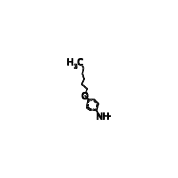 CCCCCCOc1ccc([NH])cc1